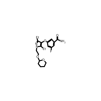 CCc1nn(CCOC2CCCCO2)c(CC)c1Oc1cc(F)cc(C(N)=O)c1